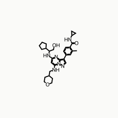 Cc1cc(-c2cnn3c(NCC4CCOCC4)cc(NC(CO)C4CCCC4)nc23)ccc1C(=O)NC1CC1